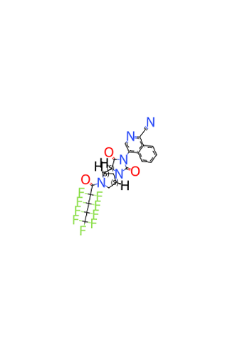 N#Cc1ncc(N2C(=O)[C@@H]3[C@@H]4C[C@@H](CN4C(=O)C(F)(F)C(F)(F)C(F)(F)C(F)(F)F)N3C2=O)c2ccccc12